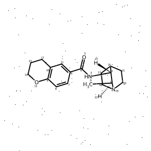 C[C@H]1[C@H](NC(=O)c2ccc3c(c2)CCCO3)C2CCN1CC2